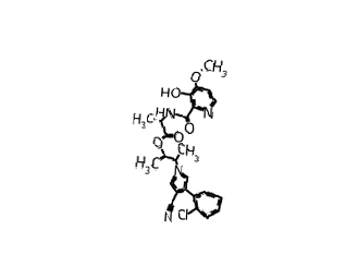 COc1ccnc(C(=O)N[C@@H](C)C(=O)OC(C)C(C)n2cc(C#N)c(-c3ccccc3Cl)c2)c1O